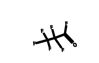 O=C(F)C(F)(F)C(F)(F)F